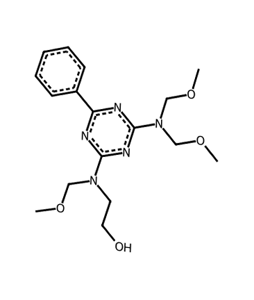 COCN(CCO)c1nc(-c2ccccc2)nc(N(COC)COC)n1